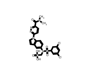 CN(C)C(=O)c1ccc(-n2ccc3cc(N(CP(=O)(O)O)S(=O)(=O)C4C=C(Cl)C=C(Cl)C4)ccc32)nn1